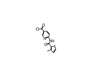 Cc1ccsc1C(=O)Nc1ccc(C(=O)Cl)cn1